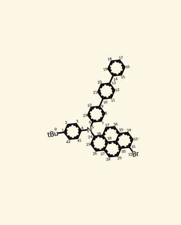 CC(C)(C)c1ccc(N(c2ccc(-c3ccc(-c4ccccc4)cc3)cc2)c2ccc3ccc4c(Br)ccc5ccc2c3c54)cc1